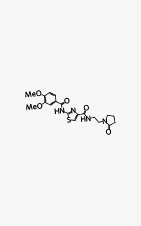 COc1ccc(C(=O)Nc2nc(C(=O)NCCN3CCCC3=O)cs2)cc1OC